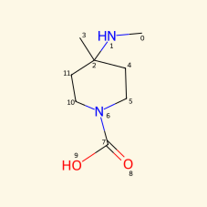 CNC1(C)CCN(C(=O)O)CC1